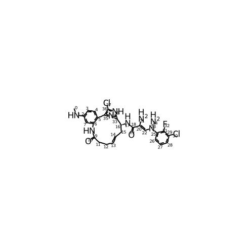 CNc1ccc2c(c1)NC(=O)CC/C=C/C[C@H](NC(=O)/C(N)=C/N(N)c1cccc(Cl)c1F)c1nc-2c(Cl)[nH]1